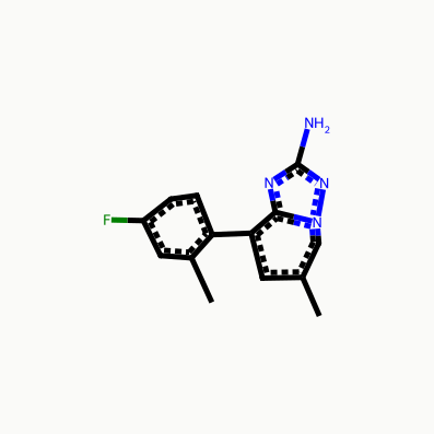 Cc1cc(-c2ccc(F)cc2C)c2nc(N)nn2c1